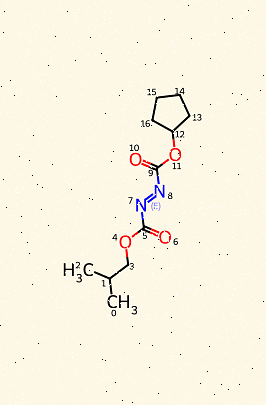 CC(C)COC(=O)/N=N/C(=O)OC1CCCC1